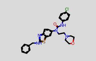 O=C(Nc1ccc(Cl)cc1)N(CCN1CCOCC1)c1ccc2nc(NCc3ccccc3)sc2c1